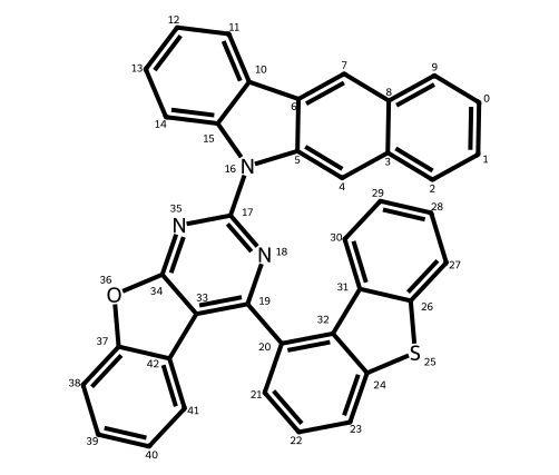 c1ccc2cc3c(cc2c1)c1ccccc1n3-c1nc(-c2cccc3sc4ccccc4c23)c2c(n1)oc1ccccc12